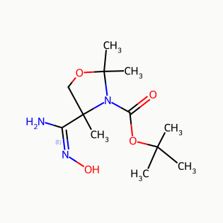 CC(C)(C)OC(=O)N1C(C)(C)OCC1(C)/C(N)=N\O